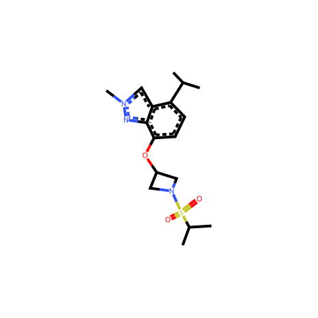 CC(C)c1ccc(OC2CN(S(=O)(=O)C(C)C)C2)c2nn(C)cc12